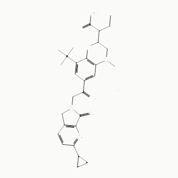 Br.CCC(C(=O)O)C1CN(C)c2cc(C(=O)CN3Cc4ccc(C5CC5)nc4C3=N)cc(C(C)(C)C)c2O1